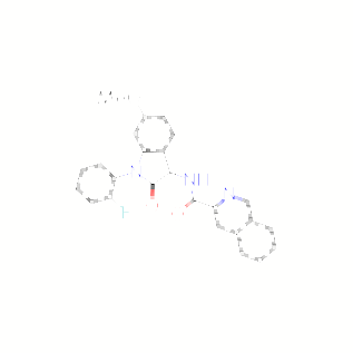 COc1ccc2c(c1)N(c1ccccc1F)C(=O)[C]2NC(=O)c1cc2ccccc2cn1